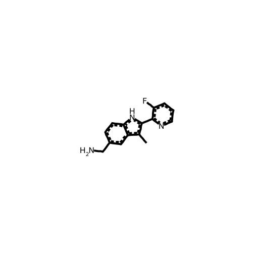 Cc1c(-c2ncccc2F)[nH]c2ccc(CN)cc12